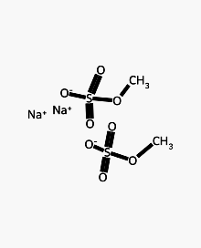 COS(=O)(=O)[O-].COS(=O)(=O)[O-].[Na+].[Na+]